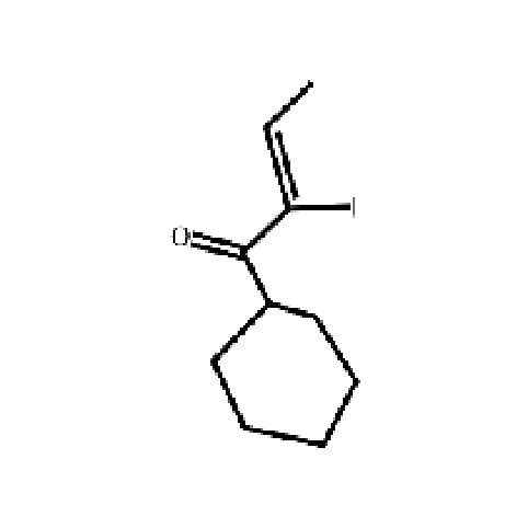 C/C=C(\I)C(=O)C1CCCCC1